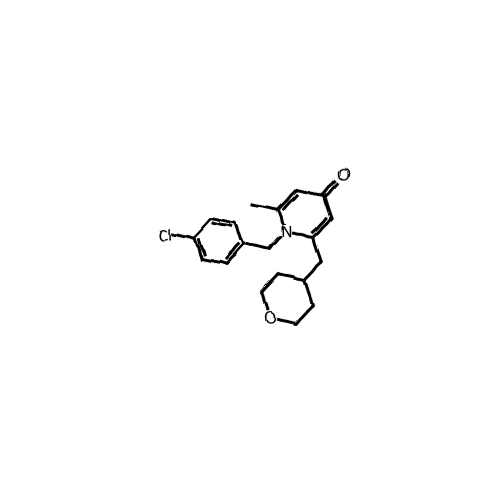 Cc1cc(=O)cc(CC2CCOCC2)n1Cc1ccc(Cl)cc1